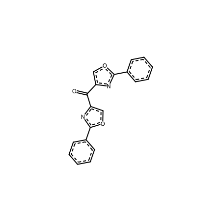 O=C(c1coc(-c2ccccc2)n1)c1coc(-c2ccccc2)n1